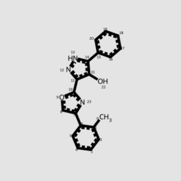 Cc1ccccc1-c1coc(-c2n[nH]c(-c3ccccc3)c2O)n1